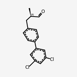 C[C@@H](C=O)Cc1ccc(-c2cc(Cl)cc(Cl)c2)cc1